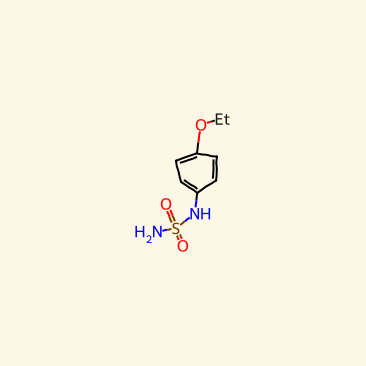 CCOc1ccc(NS(N)(=O)=O)cc1